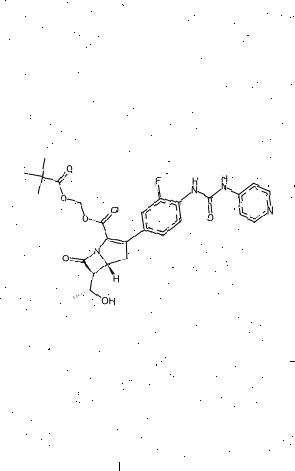 C[C@@H](O)[C@H]1C(=O)N2C(C(=O)OCOC(=O)C(C)(C)C)=C(c3ccc(NC(=O)Nc4ccncc4)c(F)c3)C[C@H]12